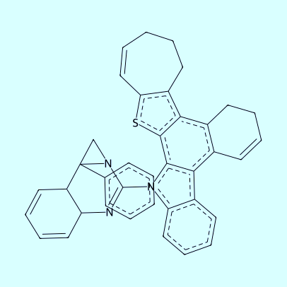 C1=CC2N=C(n3c4ccccc4c4c5c(c6c7c(sc6c43)C=CCCC7)CCC=C5)N3CC3(c3ccccc3)C2C=C1